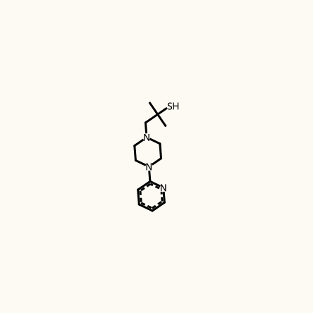 CC(C)(S)CN1CCN(c2ccccn2)CC1